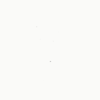 COC(/C=C/C(C)C)OC